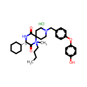 CCCC[N+]1(C)C(=O)[C@H](C2CCCCC2)NC(=O)C12CCN(Cc1ccc(Oc3ccc(O)cc3)cc1)CC2.Cl